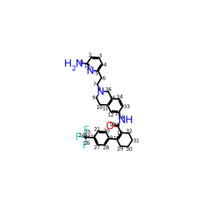 Nc1cccc(CCN2CCc3cc(NC(=O)C4=C(c5ccc(C(F)(F)F)cc5)CCCC4)ccc3C2)n1